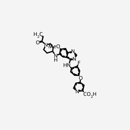 C=CC(=O)N1CCC(Nc2cc3c(Nc4ccc(Oc5ccnc(C(=O)O)c5)cc4F)ncnc3cc2OC)CC1